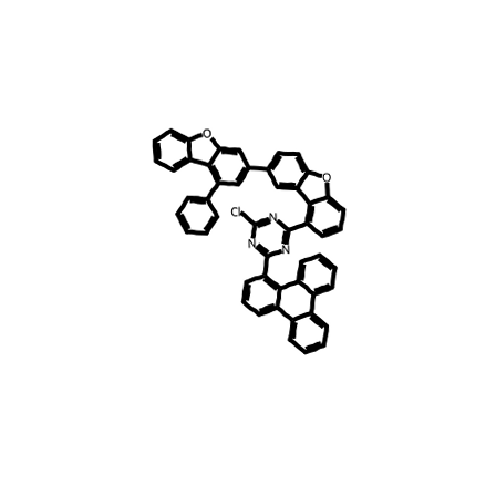 Clc1nc(-c2cccc3oc4ccc(-c5cc(-c6ccccc6)c6c(c5)oc5ccccc56)cc4c23)nc(-c2cccc3c4ccccc4c4ccccc4c23)n1